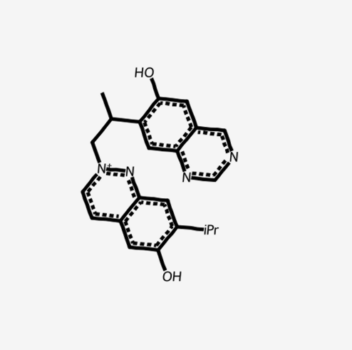 CC(C)c1cc2n[n+](CC(C)c3cc4ncncc4cc3O)ccc2cc1O